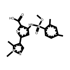 COP(=O)(Nc1cc(-c2cnn(C)c2C)sc1C(=O)O)c1ccc(C)cc1C